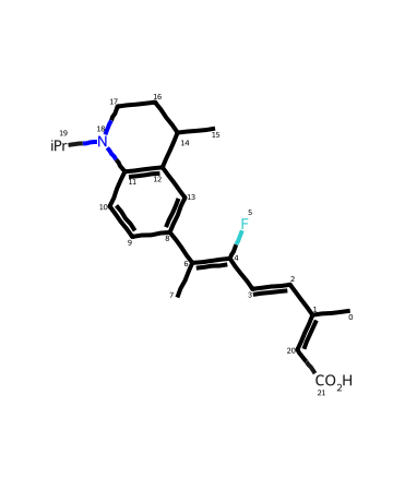 CC(C=CC(F)=C(C)c1ccc2c(c1)C(C)CCN2C(C)C)=CC(=O)O